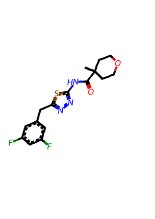 CC1(C(=O)Nc2nnc(Cc3cc(F)cc(F)c3)s2)CCOCC1